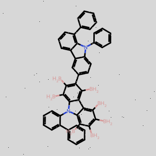 Bc1c(B)c(B)c2c(c1B)c1c(B)c(-c3ccc4c(c3)c3cccc(-c5ccccc5)c3n4-c3ccccc3)c(B)c(B)c1n2-c1ccccc1-c1ccccc1